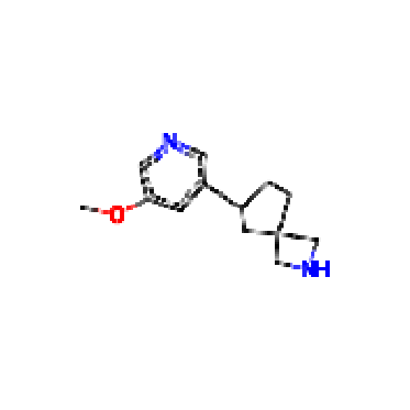 COc1cncc(C2CCC3(CNC3)C2)c1